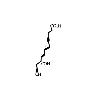 C#CC[C@@H](O)/C=C/C=C/C#CCCC(=O)O